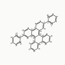 c1cnc(-c2ccc3c4ccc(-c5ncccn5)cc4c4c5ccccc5c5ccccc5c4c3c2)nc1